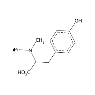 CC(C)N(C)C(Cc1ccc(O)cc1)C(=O)O